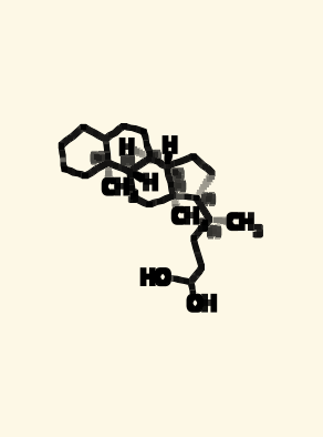 C[C@H](CCC(O)O)[C@H]1CC[C@H]2[C@@H]3CCC4CCCC[C@]4(C)[C@H]3CC[C@]12C